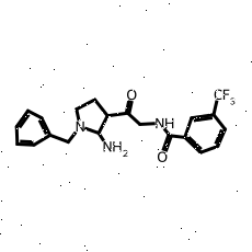 NC1C(C(=O)CNC(=O)c2cccc(C(F)(F)F)c2)CCN1Cc1ccccc1